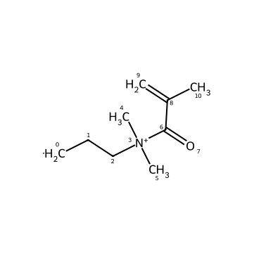 [CH2]CC[N+](C)(C)C(=O)C(=C)C